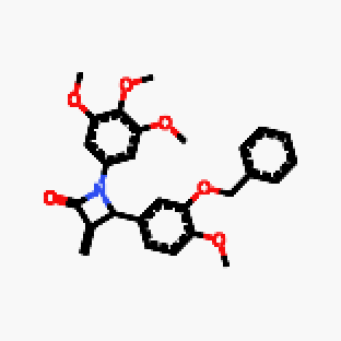 C=C1C(=O)N(c2cc(OC)c(OC)c(OC)c2)C1c1ccc(OC)c(OCc2ccccc2)c1